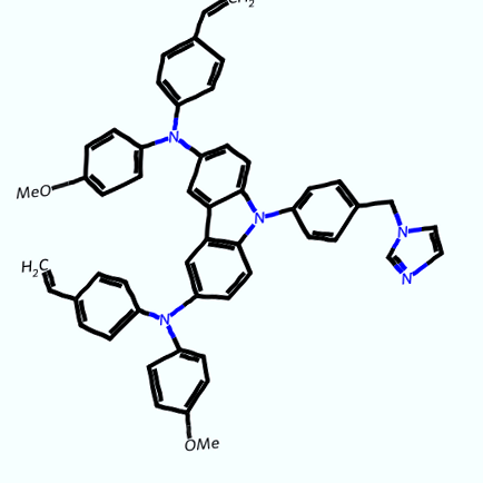 C=Cc1ccc(N(c2ccc(OC)cc2)c2ccc3c(c2)c2cc(N(c4ccc(C=C)cc4)c4ccc(OC)cc4)ccc2n3-c2ccc(Cn3ccnc3)cc2)cc1